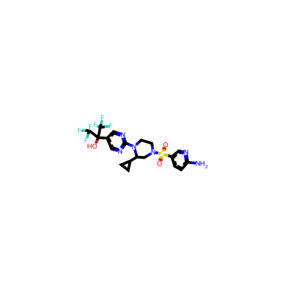 Nc1ccc(S(=O)(=O)N2CCN(c3ncc(C(O)(C(F)(F)F)C(F)(F)F)cn3)C(C3CC3)C2)cn1